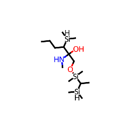 CCCC([SiH](C)C)C(O)(CO[Si](C)(C)C(C)[SiH](C)C)NC